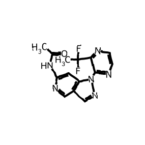 CC(=O)Nc1cc2c(cn1)cnn2-c1nccnc1C(C)(F)F